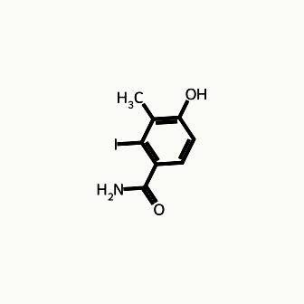 Cc1c(O)ccc(C(N)=O)c1I